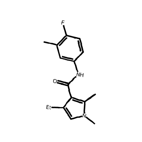 CCc1cn(C)c(C)c1C(=O)Nc1ccc(F)c(C)c1